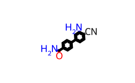 N#Cc1ccc(-c2ccc(C(N)=O)cc2)cc1N